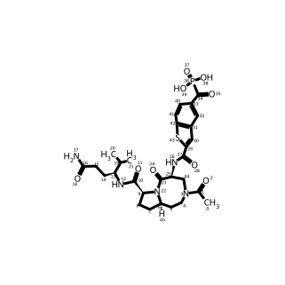 CC(=O)N1CC[C@H]2CC[C@@H](C(=O)N[C@@H](CCC(N)=O)C(C)C)N2C(=O)[C@@H](NC(=O)c2cc3cc(C(=O)P(=O)(O)O)ccc3s2)C1